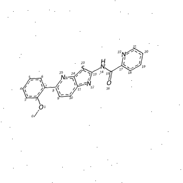 COc1ccccc1-c1ccc2nc(NC(=O)c3ccccn3)sc2n1